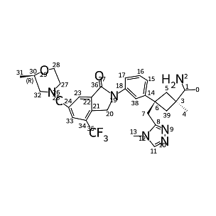 CC(N)[C@]1(C)C[C@@](Cc2nncn2C)(c2cccc(N3Cc4c(cc(CN5CCO[C@H](C)C5)cc4C(F)(F)F)C3=O)c2)C1